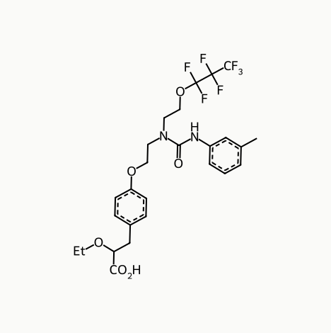 CCOC(Cc1ccc(OCCN(CCOC(F)(F)C(F)(F)C(F)(F)F)C(=O)Nc2cccc(C)c2)cc1)C(=O)O